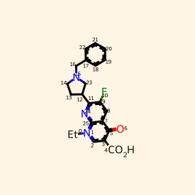 CCn1cc(C(=O)O)c(=O)c2cc(F)c(C3CCN(Cc4ccccc4)C3)nc21